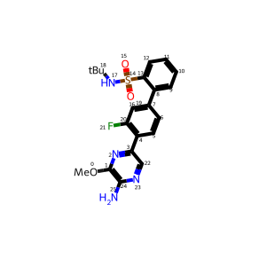 COc1nc(-c2ccc(-c3ccccc3S(=O)(=O)NC(C)(C)C)cc2F)cnc1N